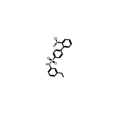 CCc1cccc(NS(=O)(=O)c2ccc(-c3ccccc3[N+](=O)[O-])cc2)c1